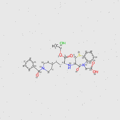 CCOC(=O)[C@@H](CCC1CCN(C(=O)c2ccccc2)CC1)NC1CSc2ccccc2N(CC(=O)O)C1=O.Cl